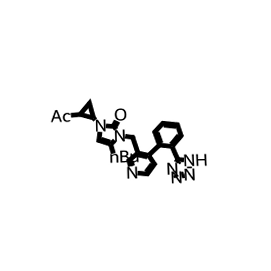 CCCCc1cn(C2CC2C(C)=O)c(=O)n1Cc1cnccc1-c1ccccc1-c1nnn[nH]1